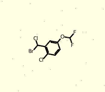 FC(F)Oc1ccc(Cl)c(C(Cl)Br)c1